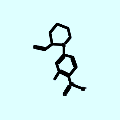 Cc1cc(N2CCCCC2C=O)ccc1[N+](=O)[O-]